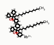 CCCCCCCCCCCCCCCC(c1ccccc1)C(C(=O)[O-])(c1ccccc1)c1ccccc1.CCCCCCCCCCCCCCCC(c1ccccc1)C(C(=O)[O-])(c1ccccc1)c1ccccc1.[Pb+2]